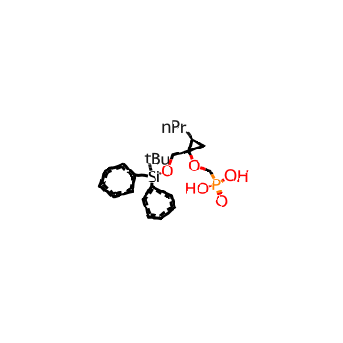 CCCC1CC1(CO[Si](c1ccccc1)(c1ccccc1)C(C)(C)C)OCP(=O)(O)O